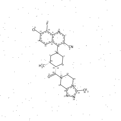 C[C@@H]1CN(c2c(C#N)cnc3c(F)c(Cl)ccc23)CC[C@@H]1C(=O)N1CCn2c(nnc2C(F)(F)F)C1